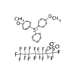 COc1ccc([S+](c2ccccc2)c2ccc(OC)cc2)cc1.O=S(=O)([O-])C(F)(F)C(F)(F)C(F)(F)C(F)(F)C(F)(F)C(F)(F)C(F)(F)C(F)(F)F